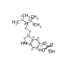 CC(C)N(CCC1CNc2ccc(OP(=O)(O)O)cc21)C(C)C